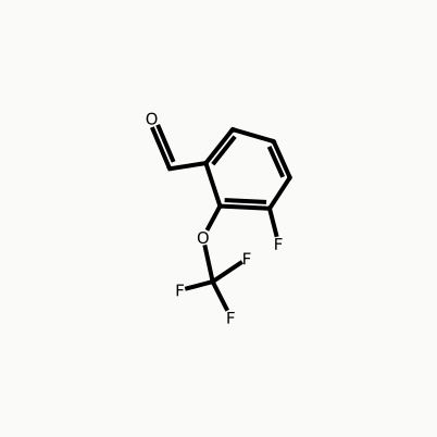 O=Cc1cccc(F)c1OC(F)(F)F